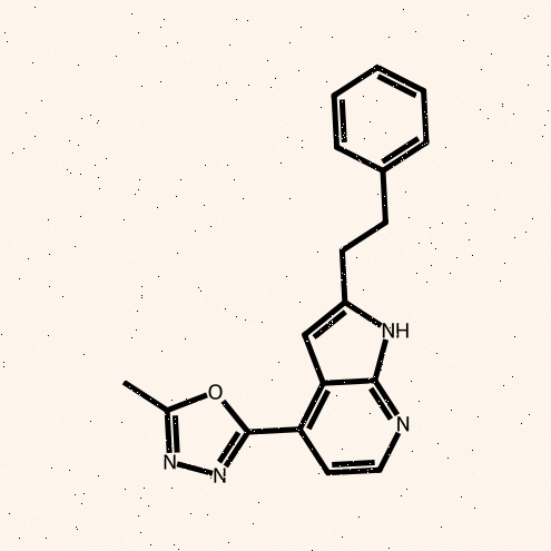 Cc1nnc(-c2ccnc3[nH]c(CCc4ccccc4)cc23)o1